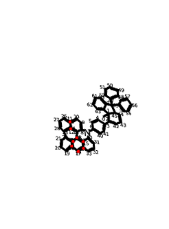 CC12C(c3ccc(N(c4ccccc4-c4cccc5cccc(-c6ccccc6)c45)c4cccc5ccccc45)cc3)=CC=CC1C(c1ccccc1)(c1ccccc1)c1ccccc12